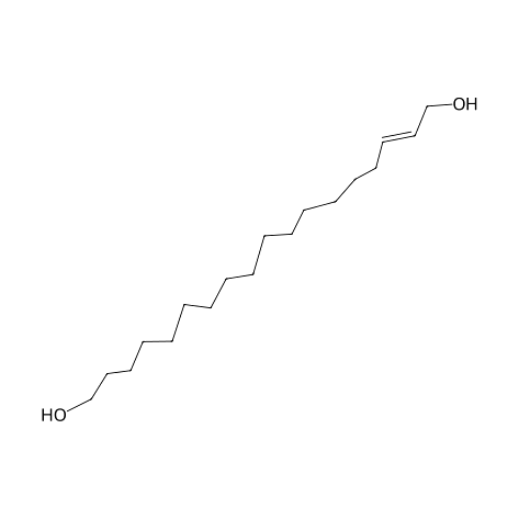 OCC=CCCCCCCCCCCCCCCCO